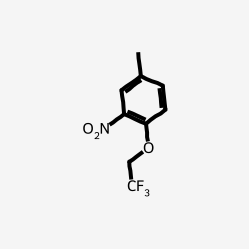 Cc1ccc(OCC(F)(F)F)c([N+](=O)[O-])c1